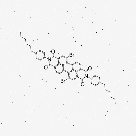 CCCCCCc1ccc(N2C(=O)c3ccc4c5c(Br)cc6c7c(ccc(c8c(Br)cc(c3c48)C2=O)c75)C(=O)N(c2ccc(CCCCCC)cc2)C6=O)cc1